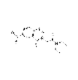 CCN(CC)C(=O)Cn1cnc2ccc([N+](=O)[O-])cc2c1=O